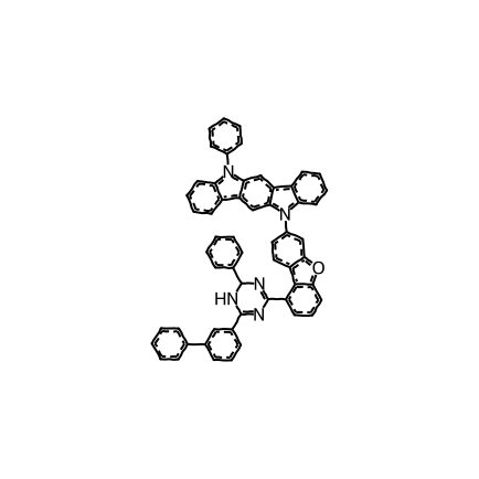 c1ccc(-c2cccc(C3=NC(c4cccc5oc6cc(-n7c8ccccc8c8cc9c(cc87)c7ccccc7n9-c7ccccc7)ccc6c45)=NC(c4ccccc4)N3)c2)cc1